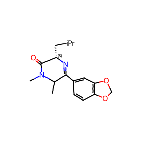 CC(C)C[C@@H]1N=C(c2ccc3c(c2)OCO3)C(C)N(C)C1=O